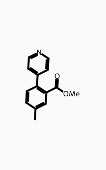 COC(=O)c1cc(C)ccc1-c1ccncc1